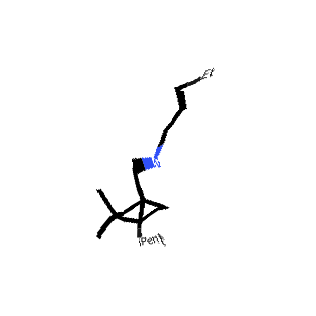 CCC=CC/N=C/C12CC1(C(C)CCC)C2(C)C